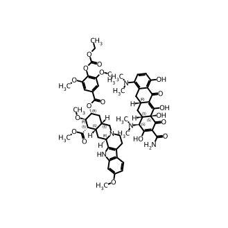 CCOC(=O)Oc1c(OC)cc(C(=O)O[C@@H]2C[C@@H]3CN4CCc5c([nH]c6cc(OC)ccc56)[C@H]4C[C@@H]3[C@H](C(=O)OC)[C@H]2OC)cc1OC.CN(C)c1ccc(O)c2c1C[C@H]1C[C@H]3[C@H](N(C)C)C(O)=C(C(N)=O)C(=O)[C@@]3(O)C(O)=C1C2=O